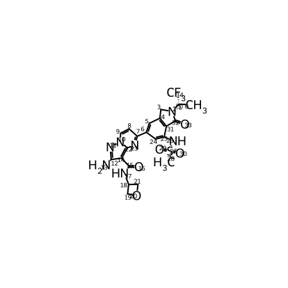 C[C@H](N1Cc2cc(-c3ccn4nc(N)c(C(=O)NC5COC5)c4n3)cc(NS(C)(=O)=O)c2C1=O)C(F)(F)F